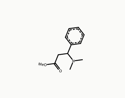 COC(=O)CC(c1ccccc1)N(C)C